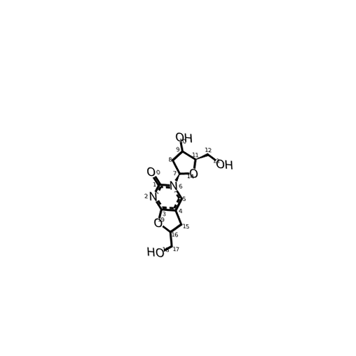 O=c1nc2c(cn1[C@H]1CC(O)[C@@H](CO)O1)CC(CO)O2